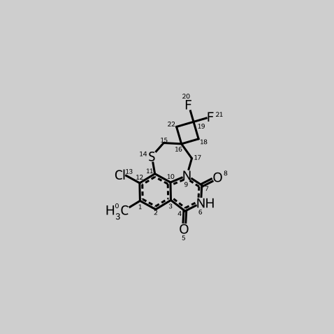 Cc1cc2c(=O)[nH]c(=O)n3c2c(c1Cl)SCC1(C3)CC(F)(F)C1